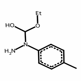 CCOC(O)N(N)c1ccc(C)cc1